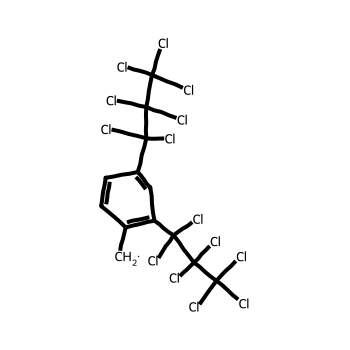 [CH2]c1ccc(C(Cl)(Cl)C(Cl)(Cl)C(Cl)(Cl)Cl)cc1C(Cl)(Cl)C(Cl)(Cl)C(Cl)(Cl)Cl